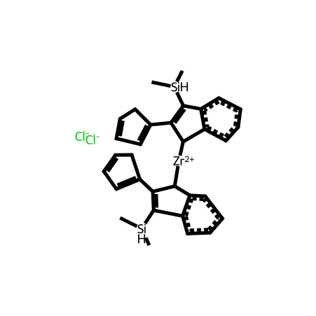 C[SiH](C)C1=C(C2=CC=CC2)[CH]([Zr+2][CH]2C(C3=CC=CC3)=C([SiH](C)C)c3ccccc32)c2ccccc21.[Cl-].[Cl-]